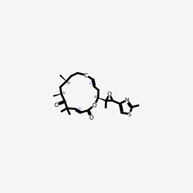 Cc1nc(C2OC2(C)[C@@H]2C/C=C/CCC[C@H](C)C[C@H](C)C(=O)C(C)(C)/C=C/C(=O)O2)cs1